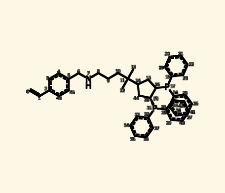 C=Cc1ccc(CNCCCC(C)(C)C2CC(P(c3ccccc3)c3ccccc3)[C@@H](P(c3ccccc3)c3ccccc3)C2)cc1